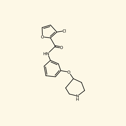 O=C(Nc1cccc(OC2CCNCC2)c1)c1occc1Cl